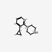 c1cnc(N2CCNCC2)c(C2CC2)c1